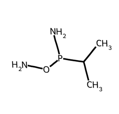 CC(C)P(N)ON